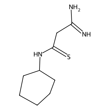 N=C(N)CC(=S)NC1CCCCC1